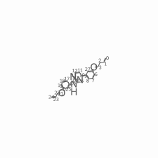 C=CCCOc1cccc(-c2ccnc(Nc3cccc(OCC=C)c3)n2)c1